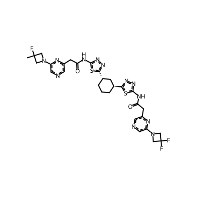 CC1(F)CN(c2cncc(CC(=O)Nc3nnc([C@H]4CCC[C@H](c5nnc(NC(=O)Cc6cncc(N7CC(F)(F)C7)n6)s5)C4)s3)n2)C1